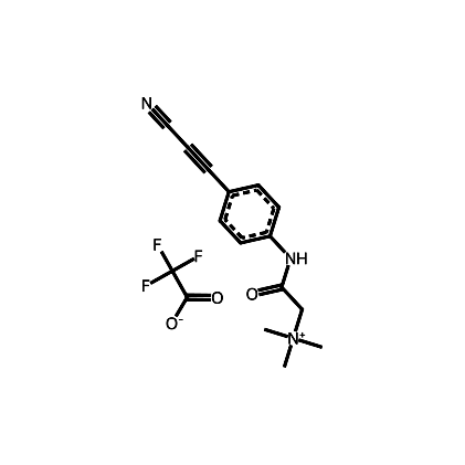 C[N+](C)(C)CC(=O)Nc1ccc(C#CC#N)cc1.O=C([O-])C(F)(F)F